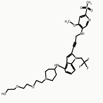 COc1cc(S(C)(=O)=O)ncc1NCC#Cc1cc2c(NC3CCN(CCOCCOCCO)CC3)cccc2n1CC(F)(F)F